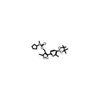 Cc1nc(-c2onc(C)c2COC(=O)N(C)C2CCCC2)ccc1B1OC(C)(C)C(C)(C)O1